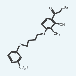 Cc1c(SCCCCOc2cccc(C(=O)O)c2)ccc(C(=O)CC(C)(C)C)c1O